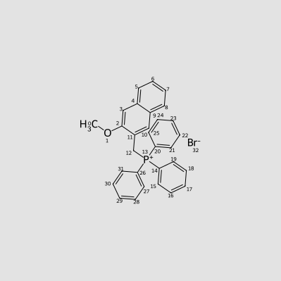 COc1cc2ccccc2cc1C[P+](c1ccccc1)(c1ccccc1)c1ccccc1.[Br-]